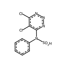 O=S(=O)(O)N(c1ccccc1)c1nnnc(Cl)c1Cl